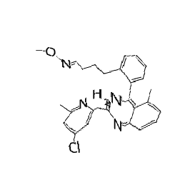 C=C(/N=C1/C=CC=C(C)/C1=C(/N)c1ccccc1CCC/C=N/OC)c1cc(Cl)cc(C)n1